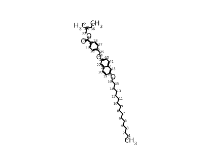 CCCCCCCCCCCCCCCCCOc1ccc2cc(OCc3ccc(C(=O)OC[C@H](C)CC)cc3)ccc2c1